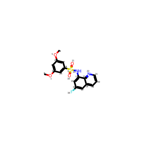 COc1cc(OC)cc(S(=O)(=O)Nc2cc(F)cc3cccnc23)c1